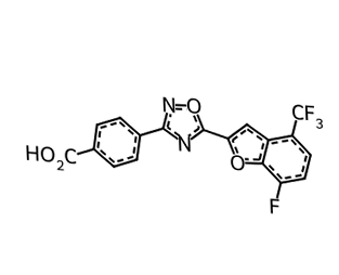 O=C(O)c1ccc(-c2noc(-c3cc4c(C(F)(F)F)ccc(F)c4o3)n2)cc1